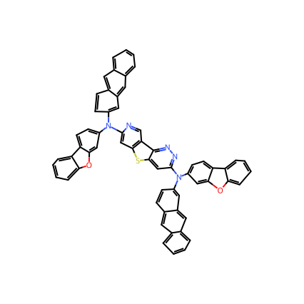 c1ccc2cc3cc(N(c4ccc5c(c4)oc4ccccc45)c4cc5sc6cc(N(c7ccc8cc9ccccc9cc8c7)c7ccc8c(c7)oc7ccccc78)nnc6c5cn4)ccc3cc2c1